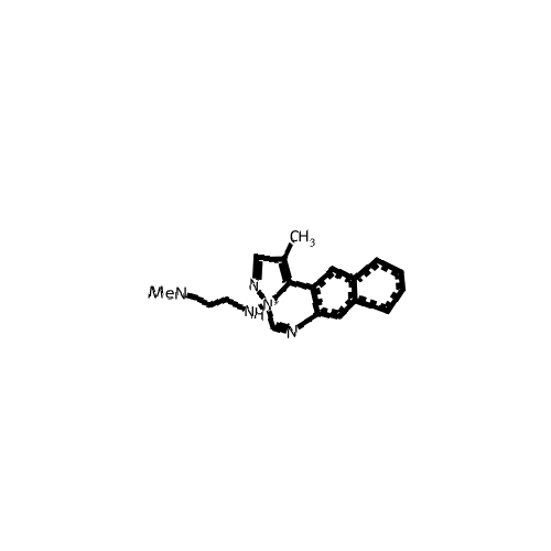 CNCCN[N+]12C=Nc3cc4ccccc4cc3C1=C(C)C=N2